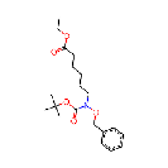 CCOC(=O)CCCCCN(OCc1ccccc1)C(=O)OC(C)(C)C